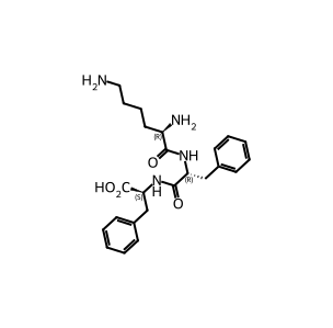 NCCCC[C@@H](N)C(=O)N[C@H](Cc1ccccc1)C(=O)N[C@@H](Cc1ccccc1)C(=O)O